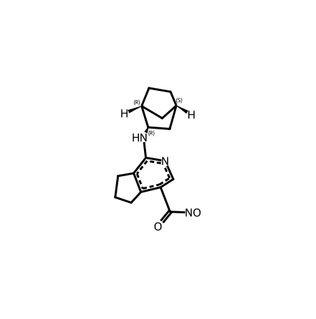 O=NC(=O)c1cnc(N[C@@H]2C[C@H]3CC[C@@H]2C3)c2c1CCC2